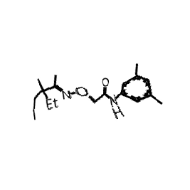 CCC(C)(CI)/C(C)=N/OCC(=O)Nc1cc(C)cc(C)c1